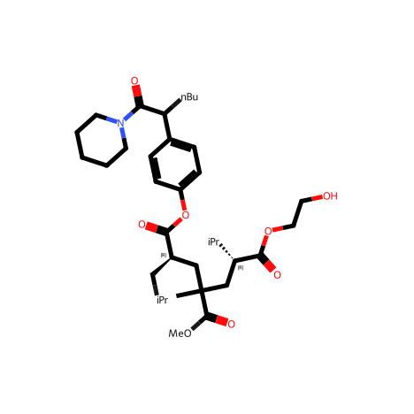 CCCCC(C(=O)N1CCCCC1)c1ccc(OC(=O)[C@H](CC(C)C)CC(C)(C[C@@H](C(=O)OCCO)C(C)C)C(=O)OC)cc1